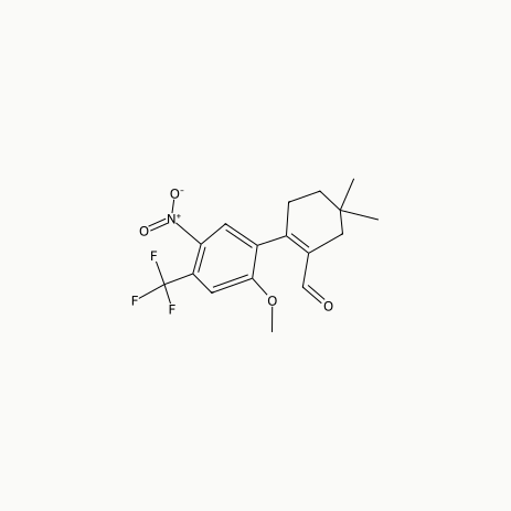 COc1cc(C(F)(F)F)c([N+](=O)[O-])cc1C1=C(C=O)CC(C)(C)CC1